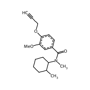 C#CCOc1ccc(C(=O)N(C)C2CCCCC2C)cc1OC